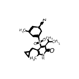 Cc1cc(C#N)cc(S(=O)(=O)c2c(CC3CC3)c(C)[nH]c(=O)c2C(C)C)c1